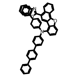 C1=CC(c2ccccc2)CC=C1N(c1ccc(-c2ccc(-c3ccccc3)cc2)cc1)c1cccc2oc3c4ccccc4c(-c4nc5ccccc5o4)cc3c12